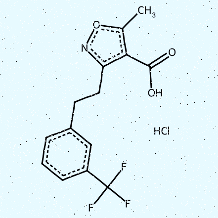 Cc1onc(CCc2cccc(C(F)(F)F)c2)c1C(=O)O.Cl